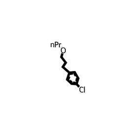 [CH2]CCOCCCc1ccc(Cl)cc1